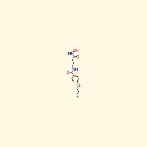 CCCCOc1ccc(C(=O)NCCCC(=O)NO)cc1